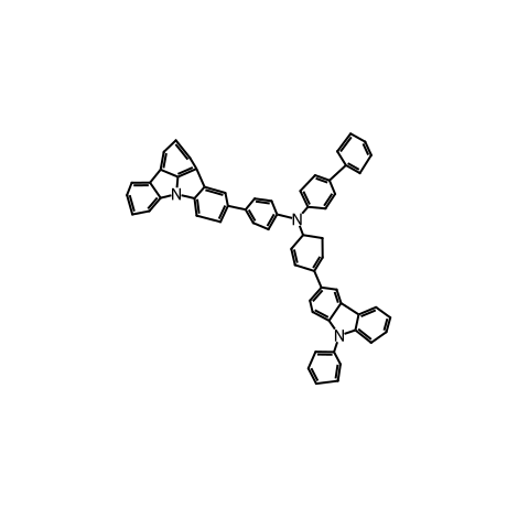 C1=CC(N(c2ccc(-c3ccccc3)cc2)c2ccc(-c3ccc4c(c3)c3cccc5c6ccccc6n4c53)cc2)CC=C1c1ccc2c(c1)c1ccccc1n2-c1ccccc1